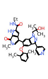 CCNC(=O)c1cc2c(-c3cc4c(cc3Oc3c(C)cccc3C)c(-c3ccncc3)nn4CC(C)(C)O)cn(C)c(=O)c2[nH]1